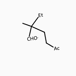 CCC(C)([C]=O)CCC(C)=O